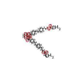 C=CC(=O)OCCCC1CCC(CCC2CCC(C(=O)OC3OCCOC3OC(=O)C3CCC(CCC4CCC(CCCOC(=O)C=C)CC4)CC3)CC2)CC1